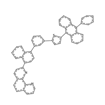 c1ccc(-c2c3ccccc3c(-c3ccc(-c4cccc(-c5ccc(-c6ccc7ccc8cccnc8c7n6)c6ccccc56)c4)s3)c3ccccc23)cc1